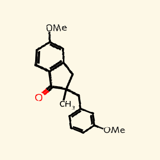 COc1cccc(CC2(C)Cc3cc(OC)ccc3C2=O)c1